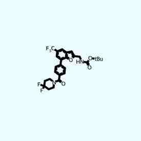 CC(C)(C)OC(=O)NCc1cc2cc(C(F)(F)F)cc(-c3ccc(C(=O)N4CCC(F)(F)CC4)cc3)c2o1